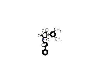 Cc1cc(C)cc(N2C(=O)NC(=O)/C(=C/c3ccc(-c4ccccc4)o3)C2=O)c1